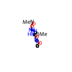 CNC(=O)COCc1ncn(-c2ncc(OC)c3c(C(=O)CN4CCN(C(=O)c5ccccc5)CC4)c[nH]c23)n1